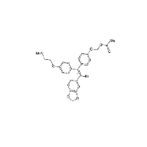 CC/C(=C(/c1ccc(OCCNC)cc1)c1ccc(OCOC(=O)C(C)(C)C)cc1)c1ccc2c(c1)OCO2